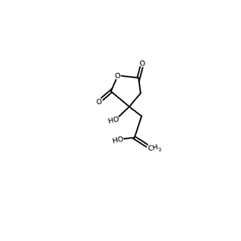 C=C(O)CC1(O)CC(=O)OC1=O